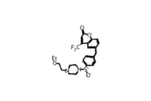 CCOCCN1CCN([S+]([O-])c2ccc(Cc3ccc4oc(=O)cc(C(F)(F)F)c4c3)cc2)CC1